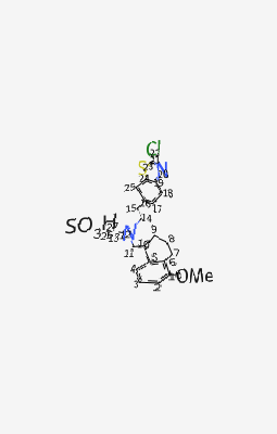 COc1cccc2c1CCCC2CN(C)CCc1ccc2nc(Cl)sc2c1.CS(=O)(=O)O